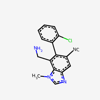 [C-]#[N+]c1cc2ncn(C)c2c(CN)c1-c1ccccc1Cl